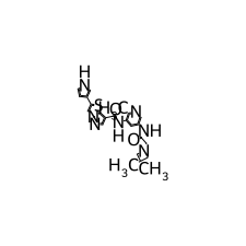 Cc1ncc(NC(=O)CN2CC(C)(C)C2)cc1NC(=O)c1cnn2cc(-c3cc[nH]c3)sc12